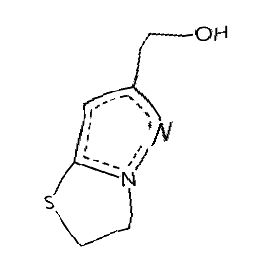 OCc1cc2n(n1)CCS2